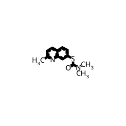 Cc1ccc2ccc(SC(=O)N(C)C)cc2n1